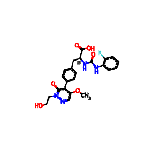 COc1cnn(CCO)c(=O)c1-c1ccc(C[C@H](NC(=O)Nc2ccccc2F)C(=O)O)cc1